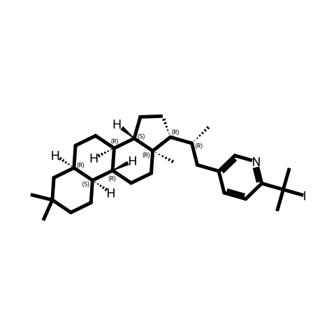 C[C@H](Cc1ccc(C(C)(C)I)nc1)[C@H]1CC[C@H]2[C@@H]3CC[C@@H]4CC(C)(C)CC[C@@H]4[C@H]3CC[C@]12C